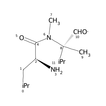 CC(C)C[C@H](N)C(=O)N(C)[C@](C)([C]=O)C(C)C